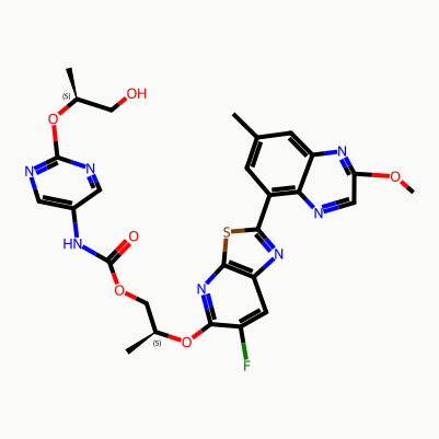 COc1cnc2c(-c3nc4cc(F)c(O[C@@H](C)COC(=O)Nc5cnc(O[C@@H](C)CO)nc5)nc4s3)cc(C)cc2n1